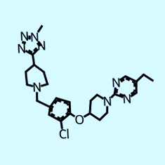 CCc1cnc(N2CCC(Oc3ccc(CN4CCC(c5nnn(C)n5)CC4)cc3Cl)CC2)nc1